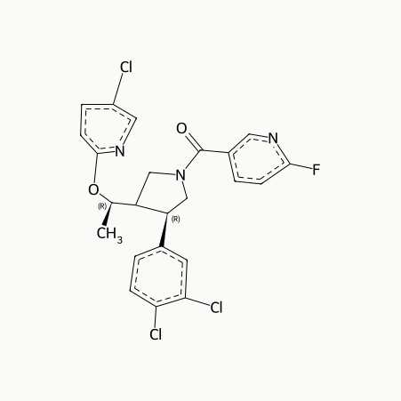 C[C@@H](Oc1ccc(Cl)cn1)C1CN(C(=O)c2ccc(F)nc2)C[C@H]1c1ccc(Cl)c(Cl)c1